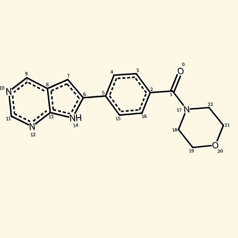 O=C(c1ccc(-c2cc3[c]ncnc3[nH]2)cc1)N1CCOCC1